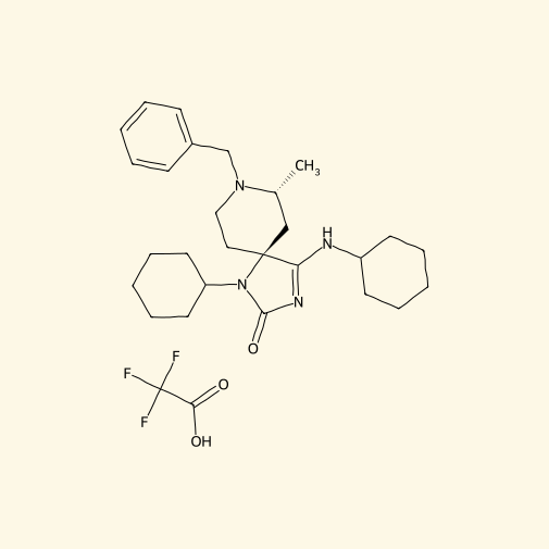 C[C@@H]1C[C@@]2(CCN1Cc1ccccc1)C(NC1CCCCC1)=NC(=O)N2C1CCCCC1.O=C(O)C(F)(F)F